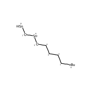 CCCCCCCC[O][Sn][O][SnH]